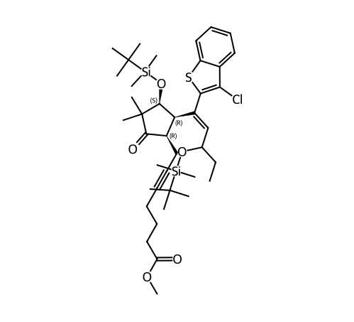 CCC(C=C(c1sc2ccccc2c1Cl)[C@H]1[C@@H](CC#CCCCC(=O)OC)C(=O)C(C)(C)[C@H]1O[Si](C)(C)C(C)(C)C)O[Si](C)(C)C(C)(C)C